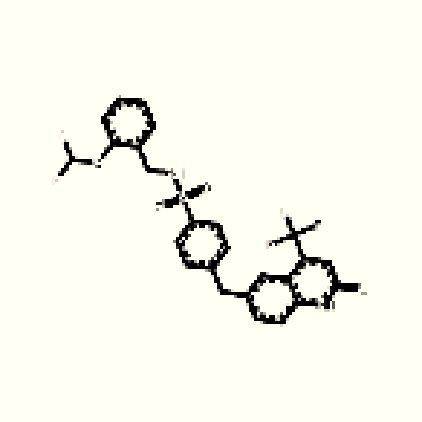 O=c1cc(C(F)(F)F)c2cc(Cc3ccc(S(=O)(=O)NCc4ccccc4OC(F)F)cc3)ccc2[nH]1